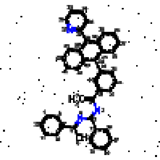 C=C(/N=C(\N=C(/C)c1ccccc1)c1ccccc1)c1cccc(-c2c3ccccc3c(-c3ccccn3)c3ccccc23)c1